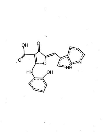 O=C(O)C1=C(Nc2ccccc2O)OC(=Cc2c[nH]c3ncccc23)C1=O